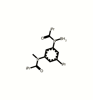 BN(C(=O)C(C)C)c1cc(C(C)C)cc(N(C)C(=O)C(C)C)c1